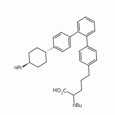 CCCCC(CCCc1ccc(-c2ccccc2-c2ccc([C@H]3CC[C@H](CCC)CC3)cc2)cc1)C(=O)O